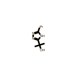 CC(C)c1nnc(C(C)(C)O)[nH]1